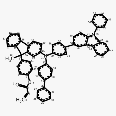 C=CC(=O)Oc1ccc(C2(C)c3ccccc3-c3ccc(N(c4ccc(-c5ccccc5)cc4)c4ccc(-c5ccc6c(c5)c5ccccc5n6-c5ccccc5)cc4)cc32)cc1